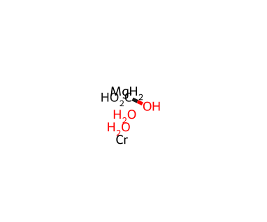 O.O.O=C(O)O.[Cr].[MgH2]